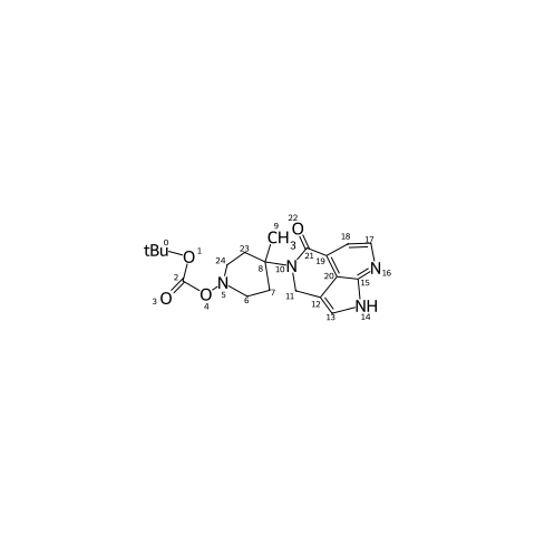 CC(C)(C)OC(=O)ON1CCC(C)(N2Cc3c[nH]c4nccc(c34)C2=O)CC1